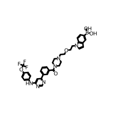 O=C(c1cccc(-c2cc(Nc3ccc(OC(F)(F)F)cc3)ncn2)c1)N1CCN(CCOCCn2ccc3cc(B(O)O)ccc32)CC1